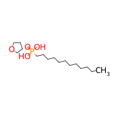 C1CCOC1.CCCCCCCCCCCCP(=O)(O)O